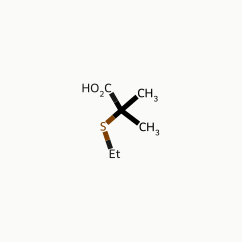 CCSC(C)(C)C(=O)O